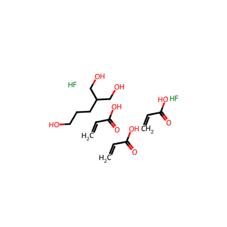 C=CC(=O)O.C=CC(=O)O.C=CC(=O)O.F.F.OCCCC(CO)CO